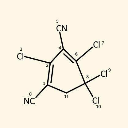 N#CC1=C(Cl)C(C#N)=C(Cl)C(Cl)(Cl)C1